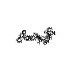 CN(C)CCCC(CS(=O)(=O)c1ccccc1)Nc1ccc(S(=O)(=O)Nc2ncnc3cc(N4CCN(Cc5cc(Cl)ccc5-c5ccccc5)CC4)ccc23)cc1[N+](=O)[O-]